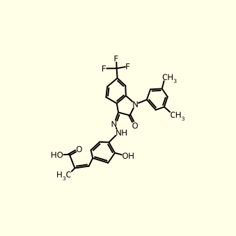 CC(=Cc1ccc(NN=C2C(=O)N(c3cc(C)cc(C)c3)c3cc(C(F)(F)F)ccc32)c(O)c1)C(=O)O